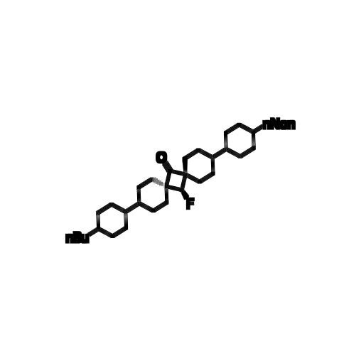 CCCCCCCCCC1CCC(C2CC[C@]3(CC2)C(=O)[C@@]2(CCC(C4CCC(CCCC)CC4)CC2)[C@@H]3F)CC1